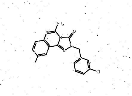 Nc1nc2ccc(F)cc2c2nn(Cc3cccc(Cl)c3)c(=O)n12